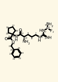 BP(F)NC(=N)NCCC[C@@H](N)C(=O)NC1(C(=O)OCc2ccccc2)CCCC1